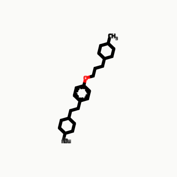 CCCCC1CCC(CCc2ccc(OCCCC3CCC(C)CC3)cc2)CC1